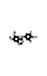 COc1cc2ncnc(Nc3cc(F)c(O)c(F)c3)c2cc1OC